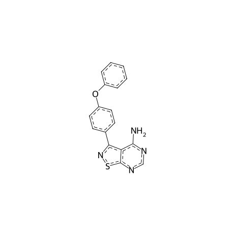 Nc1ncnc2snc(-c3ccc(Oc4ccccc4)cc3)c12